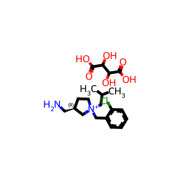 CC(C)C[N+]1(Cc2ccccc2Cl)CC[C@H](CN)C1.O=C(O)C(O)C(O)C(=O)O